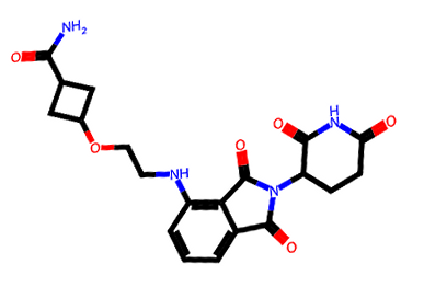 NC(=O)C1CC(OCCNc2cccc3c2C(=O)N(C2CCC(=O)NC2=O)C3=O)C1